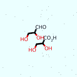 O=C(O)C(O)CO.O=CC(O)CO